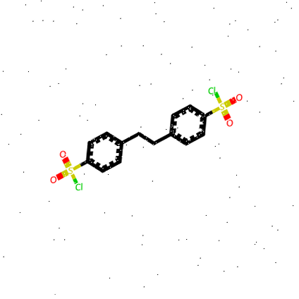 O=S(=O)(Cl)c1ccc(CCc2ccc(S(=O)(=O)Cl)cc2)cc1